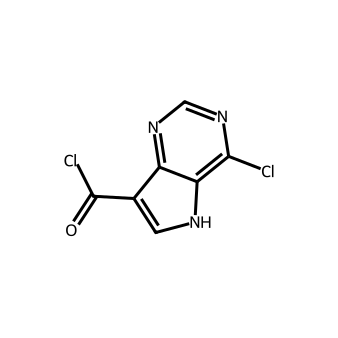 O=C(Cl)c1c[nH]c2c(Cl)ncnc12